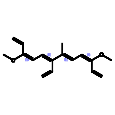 C=C\C(=C/C=C(C)/C(C=C)=C/C=C(\C=C)OC)OC